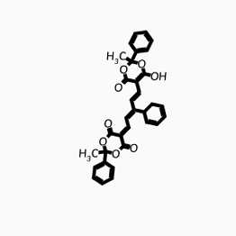 CC1(c2ccccc2)OC(=O)C(=C/C=C(/C=C/C2=C(O)OC(C)(c3ccccc3)OC2=O)C2C=CC=CC2)C(=O)O1